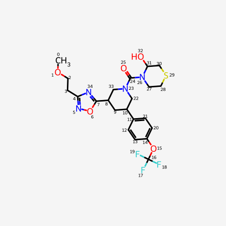 COCCc1noc(C2CC(c3ccc(OC(F)(F)F)cc3)CN(C(=O)N3CCSCC3O)C2)n1